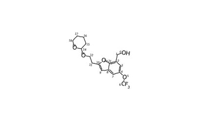 OCc1cc(OC(F)(F)F)cc2cc(CCOC3CCCCO3)oc12